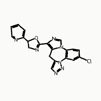 Clc1ccc2c(c1)-n1nncc1Cc1c(C3=NCC(c4ccccn4)O3)ncn1-2